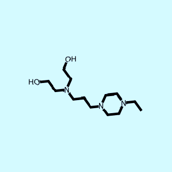 CCN1CCN(CCCN(CCO)CCO)CC1